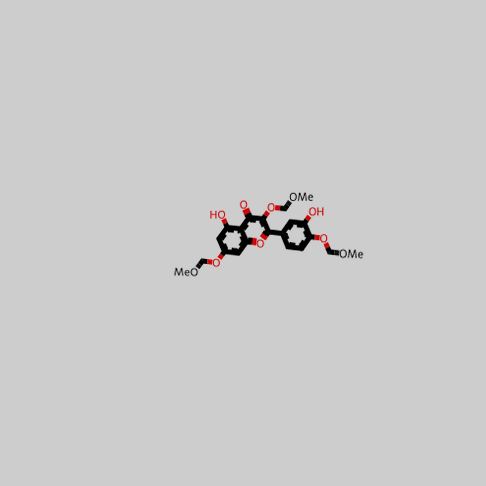 COCOc1cc(O)c2c(=O)c(OCOC)c(-c3ccc(OCOC)c(O)c3)oc2c1